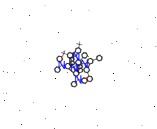 CC(C)(C)c1ccc2c(c1)c1cc(C(C)(C)C)cc3c1n2-c1c2c4c5c(c1-c1ccccc1)-n1c6ccc(-c7ccccc7)cc6c6cc(-c7ccccc7)cc(c61)B5c1cc(N(c5ccccc5)c5ccccc5)cc5c6cc(N(c7ccccc7)c7ccccc7)cc(c6n-4c15)B23